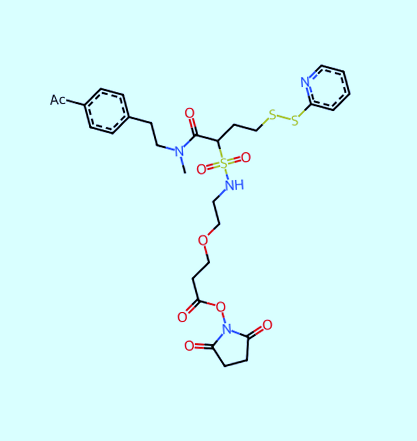 CC(=O)c1ccc(CCN(C)C(=O)C(CCSSc2ccccn2)S(=O)(=O)NCCOCCC(=O)ON2C(=O)CCC2=O)cc1